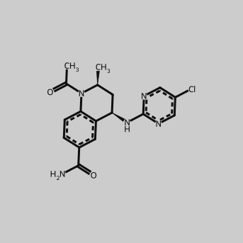 CC(=O)N1c2ccc(C(N)=O)cc2[C@H](Nc2ncc(Cl)cn2)C[C@@H]1C